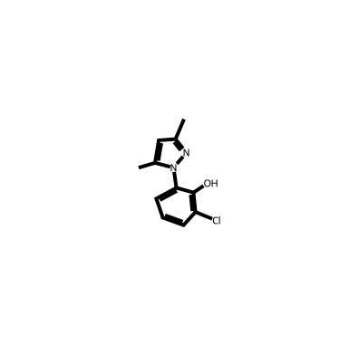 Cc1cc(C)n(-c2cccc(Cl)c2O)n1